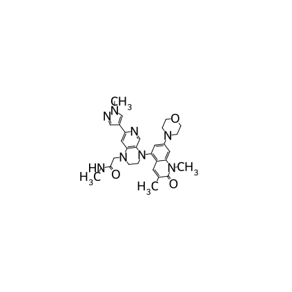 CNC(=O)CN1CCN(c2cc(N3CCOCC3)cc3c2cc(C)c(=O)n3C)c2cnc(-c3cnn(C)c3)cc21